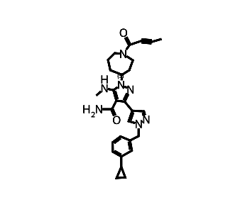 CC#CC(=O)N1CCC[C@H](n2nc(-c3cnn(Cc4cccc(C5CC5)c4)c3)c(C(N)=O)c2NC)CC1